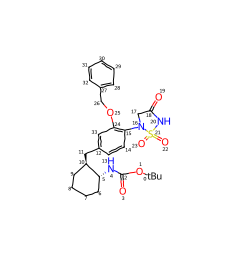 CC(C)(C)OC(=O)N[C@@H]1CCCC[C@H]1Cc1ccc(N2CC(=O)NS2(=O)=O)c(OCc2ccccc2)c1